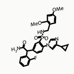 COc1ccc(CNS(=O)(=O)c2cc(C(C(N)=O)c3ccccc3F)ccc2-n2cnc(C3CC3)c2)c(OC)c1